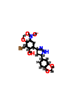 COc1c([N+](=O)[O-])cc(C2=NNC(c3ccc4c(c3)OCO4)C2)c(O)c1Br